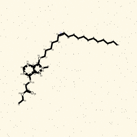 CCCCCCCCCCC/C=C\CCCCCOc1c2ncnc(SCC(=O)OCC)c2nn1C